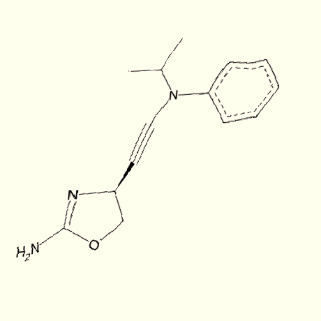 CC(C)N(C#C[C@H]1COC(N)=N1)c1ccccc1